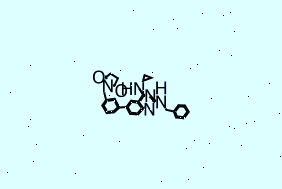 O=C1CCC(=O)N1Cc1cccc(-c2ccc3nc(NCc4ccccc4)nc(NC4CC4)c3c2)c1